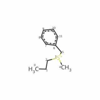 CCC[S+](C)Cc1ccccc1